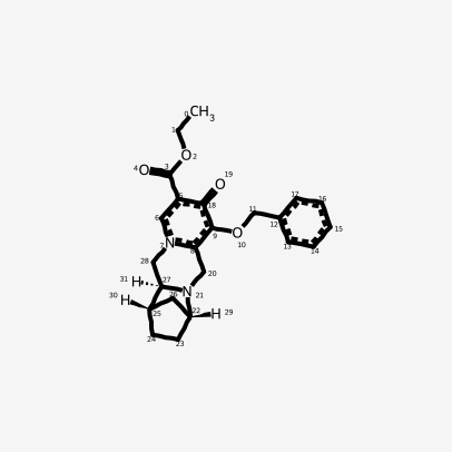 CCOC(=O)c1cn2c(c(OCc3ccccc3)c1=O)CN1[C@@H]3CC[C@@H](C3)[C@H]1C2